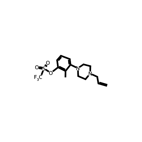 C=CCN1CCN(c2cccc(OS(=O)(=O)C(F)(F)F)c2C)CC1